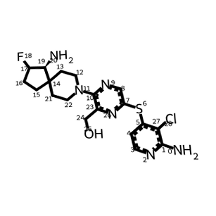 Nc1nccc(Sc2cnc(N3CCC4(CCC(F)[C@H]4N)CC3)c(CO)n2)c1Cl